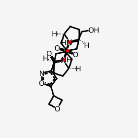 O=C(NC1C[C@H]2CC[C@@H](C1)N2S(=O)(=O)N1[C@@H]2CC[C@H]1CC(NCCO)C2)c1cc(C2COC2)on1